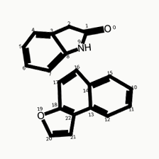 O=C1Cc2ccccc2N1.c1ccc2c(c1)ccc1occc12